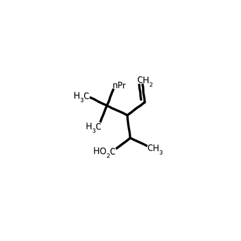 C=CC(C(C)C(=O)O)C(C)(C)CCC